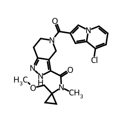 COCC1(N(C)C(=O)c2[nH]nc3c2CN(C(=O)c2cc4c(Cl)cccn4c2)CC3)CC1